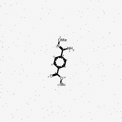 CON=C(N)c1ccc(C(=O)OC(C)(C)C)cc1